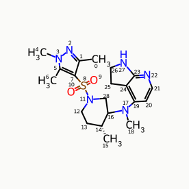 Cc1nn(C)c(C)c1S(=O)(=O)N1CC[C@@H](C)C(N(C)c2ccnc3c2CCN3)C1